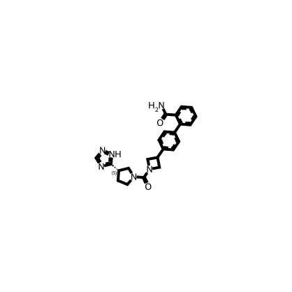 NC(=O)c1ccccc1-c1ccc(C2CN(C(=O)N3CC[C@H](c4ncn[nH]4)C3)C2)cc1